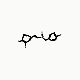 [O-][S+](/C=C/c1ccc(F)c(F)c1)Cc1ccc(Cl)cc1